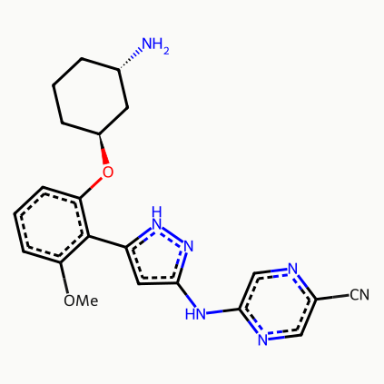 COc1cccc(O[C@H]2CCC[C@H](N)C2)c1-c1cc(Nc2cnc(C#N)cn2)n[nH]1